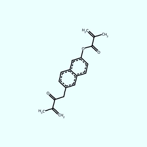 C=C(C)C(=O)Cc1ccc2cc(OC(=O)C(=C)C)ccc2c1